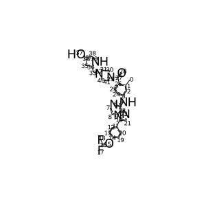 Cc1cc(Nc2nccn3c(-c4ccc(OC(F)F)cc4)cnc23)ccc1C(=O)N1CCN(CC2C[C@H](O)CN2)CC1